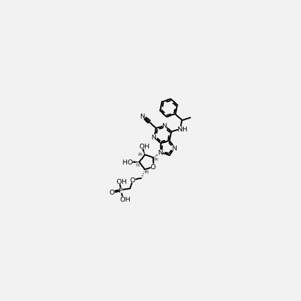 CC(Nc1nc(C#N)nc2c1ncn2[C@@H]1O[C@H](COCP(=O)(O)O)[C@@H](O)[C@H]1O)c1ccccc1